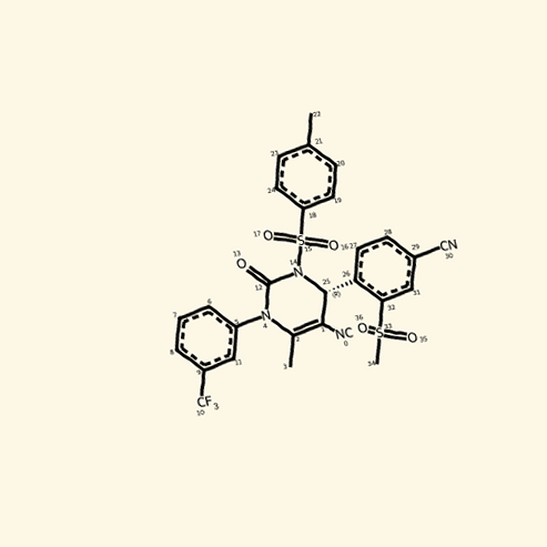 [C-]#[N+]C1=C(C)N(c2cccc(C(F)(F)F)c2)C(=O)N(S(=O)(=O)c2ccc(C)cc2)[C@@H]1c1ccc(C#N)cc1S(C)(=O)=O